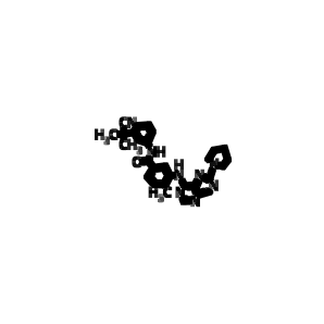 Cc1ccc(C(=O)Nc2cccc(C(C)(C)C#N)c2)cc1Nc1ncnc2cnc(N3CCCCC3)nc12